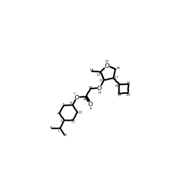 CC(C)C1CCC(OC(=O)COC2C(C)OCC2C2CCC2)CC1